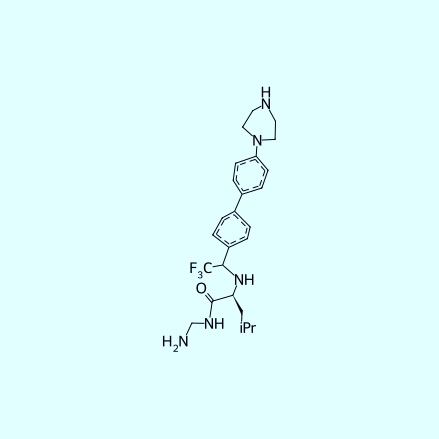 CC(C)C[C@H](NC(c1ccc(-c2ccc(N3CCNCC3)cc2)cc1)C(F)(F)F)C(=O)NCN